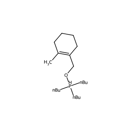 CCCC[PH](CCCC)(CCCC)OCC1=C(C)CCCC1